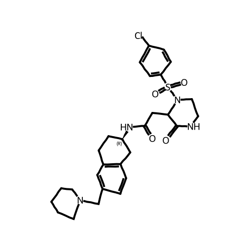 O=C(CC1C(=O)NCCN1S(=O)(=O)c1ccc(Cl)cc1)N[C@@H]1CCc2cc(CN3CCCCC3)ccc2C1